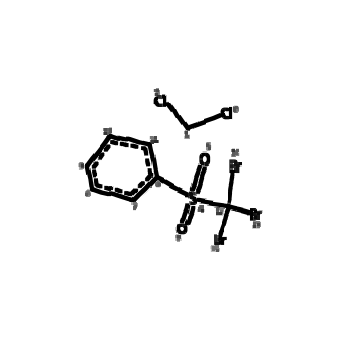 ClCCl.O=S(=O)(c1ccccc1)C(Br)(Br)Br